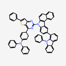 C1=CC(c2nc(-n3c4ccc(-c5cccc6c7ccccc7n(-c7ccccc7)c56)cc4c4c5ccccc5ccc43)nc3cc(-c4ccccc4)sc23)CC=C1N(c1ccccc1)c1ccccc1